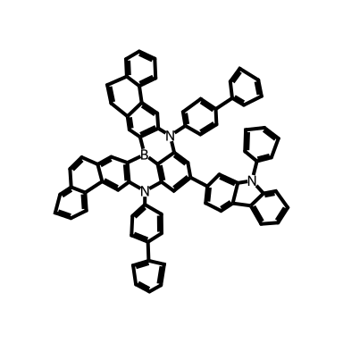 c1ccc(-c2ccc(N3c4cc5c(ccc6ccccc65)cc4B4c5cc6ccc7ccccc7c6cc5N(c5ccc(-c6ccccc6)cc5)c5cc(-c6ccc7c8ccccc8n(-c8ccccc8)c7c6)cc3c54)cc2)cc1